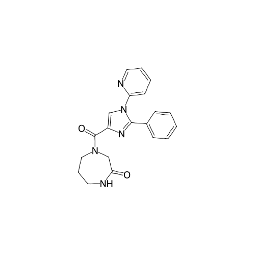 O=C1CN(C(=O)c2cn(-c3ccccn3)c(-c3ccccc3)n2)CCCN1